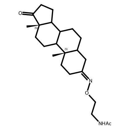 CC(=O)NCCON=C1CC[C@@]2(C)C(CCC3C2CC[C@]2(C)C(=O)CCC32)C1